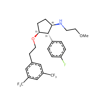 COCCN[C@@H]1CC[C@H](OCCc2cc(C(F)(F)F)cc(C(F)(F)F)c2)[C@H]1c1ccc(F)cc1